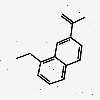 C=C(C)c1ccc2cccc(CC)c2c1